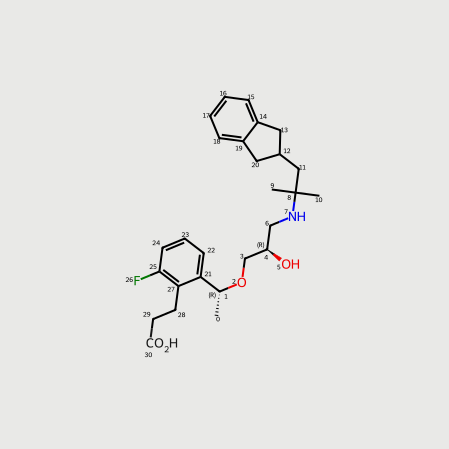 C[C@@H](OC[C@H](O)CNC(C)(C)CC1Cc2ccccc2C1)c1cccc(F)c1CCC(=O)O